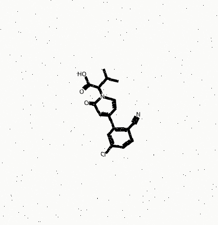 CC(C)C(C(=O)O)n1ccc(-c2cc(Cl)ccc2C#N)cc1=O